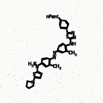 CCCCCc1ccc(-c2nnc(Nc3ccc(/N=N/c4ccc(N(C)c5ccc(N6CCCC6)s5)cc4C)cc3C)s2)cc1